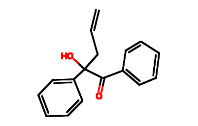 C=CCC(O)(C(=O)c1ccccc1)c1ccccc1